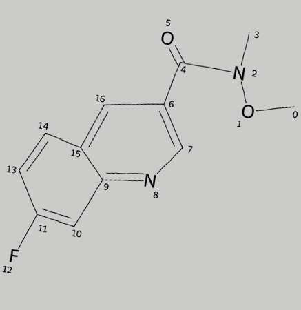 CON(C)C(=O)c1cnc2cc(F)ccc2c1